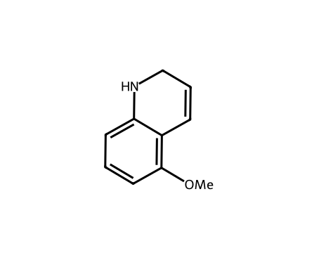 COc1cccc2c1C=CCN2